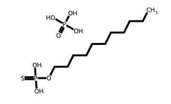 CCCCCCCCCCCOP(O)(O)=S.O=P(O)(O)O